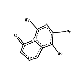 CC(C)c1nc(C(C)C)n2c(=O)cncc2c1C(C)C